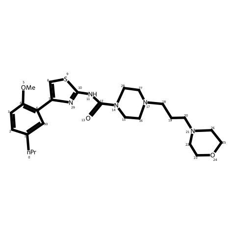 CCCc1ccc(OC)c(-c2csc(NC(=O)N3CCN(CCCN4CCOCC4)CC3)n2)c1